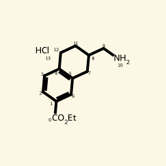 CCOC(=O)c1ccc2c(c1)CC(CN)CC2.Cl